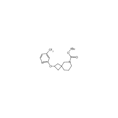 CC(C)(C)OC(=O)N1CCCC2(CC(Oc3cc(C(F)(F)F)ccn3)C2)C1